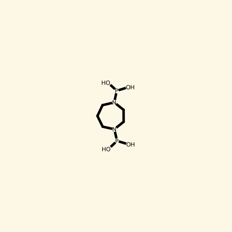 OP(O)N1CCCN(P(O)O)CC1